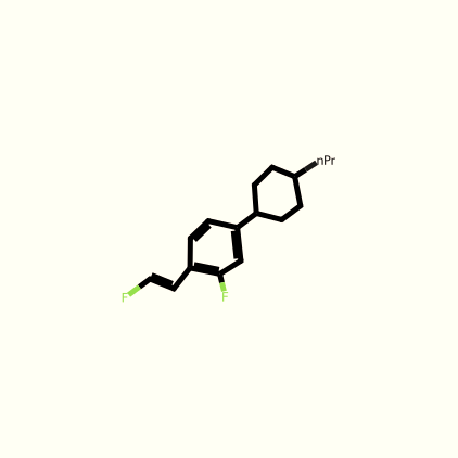 CCCC1CCC(c2ccc(C=CF)c(F)c2)CC1